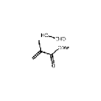 C=C(C)C(=O)OC.O=[C]O